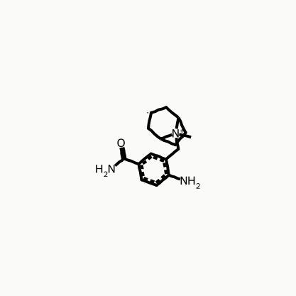 C[N+]1(Cc2cc(C(N)=O)ccc2N)C2C[CH]CC1CC2